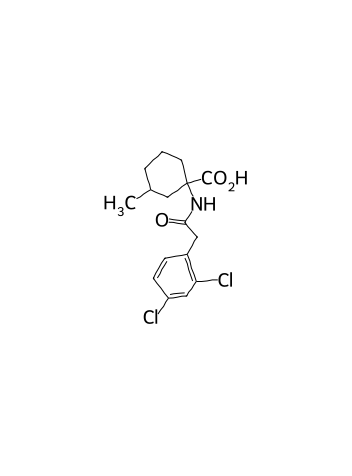 CC1CCCC(NC(=O)Cc2ccc(Cl)cc2Cl)(C(=O)O)C1